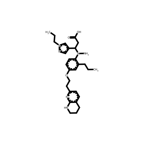 CCCc1cc(OCCc2ccc3c(n2)NCCC3)ccc1N(N)C(CC(=O)O)c1cnn(CCC)c1